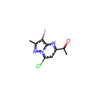 CC(=O)c1cc(Cl)n2nc(C)c(I)c2n1